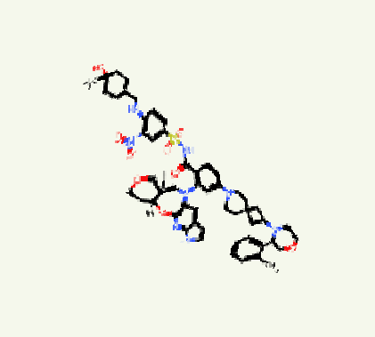 Cc1ccccc1[C@@H]1COCCN1C1CC2(CCN(c3ccc(C(=O)NS(=O)(=O)c4ccc(NCC5CCC(C)(O)CC5)c([N+](=O)[O-])c4)c(N4C[C@H]5COCC[C@@H]5Oc5nc6[nH]ccc6cc54)c3)CC2)C1